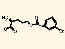 C=C(CCCNC(=O)Oc1cccc(Br)c1)C(=O)O